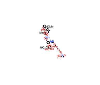 BC1CC(=O)N(CCOCCOCCOCCOCc2cn(-c3cc(COC(=O)NCC45OC6c7c(C)cc8c(OC)c9c(c(O)c8c7O[C@](OC)(C6O4)[C@@]54CO4)C(=O)CCC9)ccc3O[C@@H]3O[C@H](C(=O)O)[C@@H](O)[C@H](O)[C@H]3O)nn2)C1O